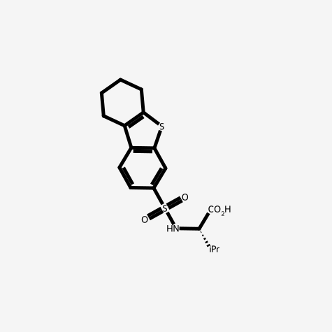 CC(C)[C@H](NS(=O)(=O)c1ccc2c3c(sc2c1)CCCC3)C(=O)O